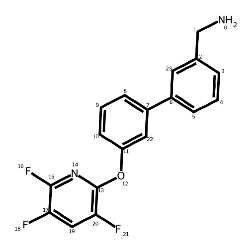 NCc1cccc(-c2cccc(Oc3nc(F)c(F)cc3F)c2)c1